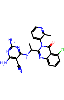 Cc1ncccc1-n1c(C(C)Nc2nc(N)nc(N)c2C#N)nc2cccc(Cl)c2c1=O